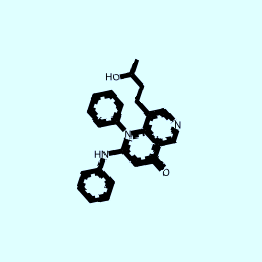 CC(O)CCc1cncc2c(=O)cc(Nc3ccccc3)n(-c3ccccc3)c12